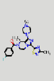 CC(=O)N1CCN(c2nc(-c3nc(C)ns3)n3c2[C@@H](C)N(C(=O)c2ccc(F)cc2)CC3)CC1